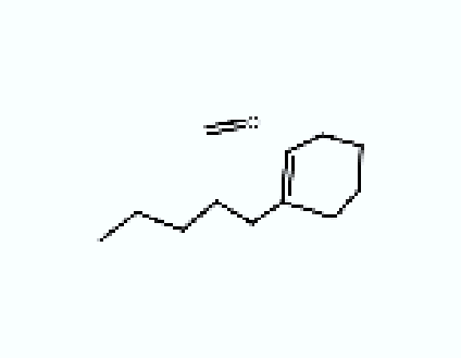 C=O.CCCCCC1=CCCCC1